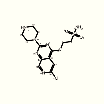 NS(=O)(=O)CCNc1nc(N2CCNCC2)nc2cnc(Cl)cc12